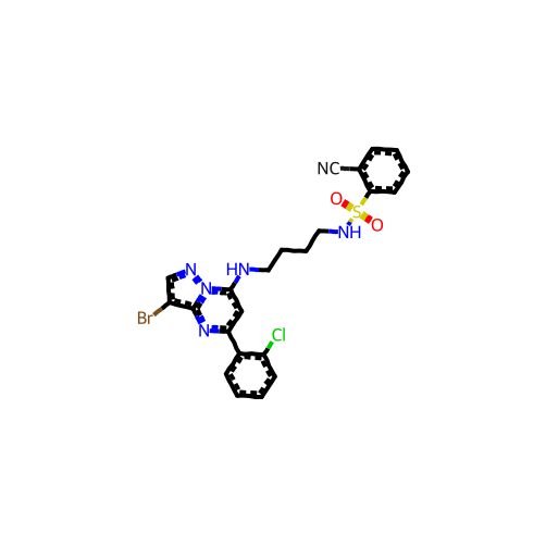 N#Cc1ccccc1S(=O)(=O)NCCCCNc1cc(-c2ccccc2Cl)nc2c(Br)cnn12